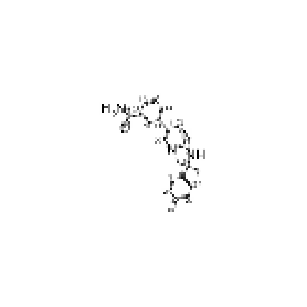 Cc1ccc(C(C)(C)Nc2ncc(-c3cccc(C(N)=O)c3)cn2)cc1